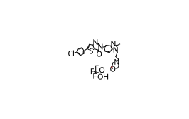 Cc1nc2cc(-n3cnc4cc(-c5ccc(Cl)cc5)sc4c3=O)ccc2n1CCCN1CCOCC1.O=C(O)C(F)(F)F